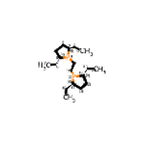 CC[C@@H]1CC[C@@H](CC)P1CCP1[C@H](CC)CC[C@H]1CC